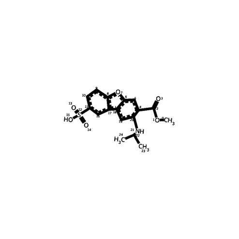 COC(=O)c1cc2oc3ccc(S(=O)(=O)O)cc3c2cc1NC(C)C